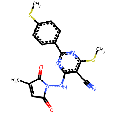 CSc1ccc(-c2nc(NN3C(=O)C=C(C)C3=O)c(C#N)c(SC)n2)cc1